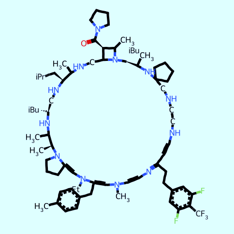 CC[C@H](C)[C@H]1C(C)NC2(CCCC2)CNCCNC=CC(CCc2cc(F)c(C(F)(F)F)c(F)c2)=NC=CN(C)C=C(Cc2ccc(C)cc2)N(CC)C=C2CCCN2[C@@H](C)C(C)N[C@@H]([C@@H](C)CC)CN[C@@H](CC(C)C)C(C)NCC2[C@@H](C(=O)N3CCCC3)C(C)N21